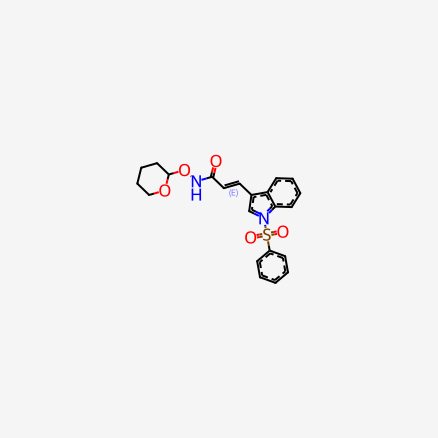 O=C(/C=C/c1cn(S(=O)(=O)c2ccccc2)c2ccccc12)NOC1CCCCO1